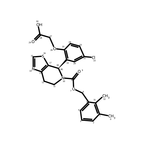 Cc1cccc(COC(=O)N2CCc3ncsc3[C@H]2c2cc(Cl)ccc2OCC(=O)O)c1C